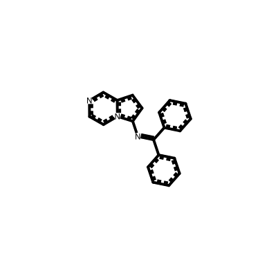 c1ccc(C(=Nc2ccc3cnccn23)c2ccccc2)cc1